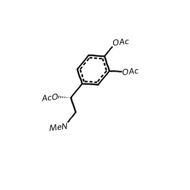 CNC[C@H](OC(C)=O)c1ccc(OC(C)=O)c(OC(C)=O)c1